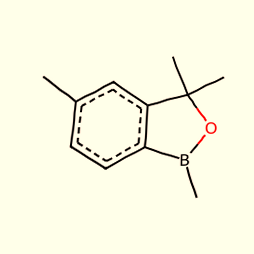 CB1OC(C)(C)c2cc(C)ccc21